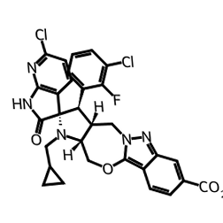 O=C(O)c1ccc2c3n(nc2c1)C[C@@H]1[C@H](CO3)N(CC2CC2)[C@@]2(C(=O)Nc3nc(Cl)ccc32)[C@H]1c1cccc(Cl)c1F